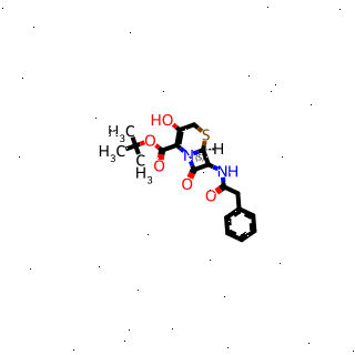 CC(C)(C)OC(=O)C1=C(O)CS[C@H]2C(NC(=O)Cc3ccccc3)C(=O)N12